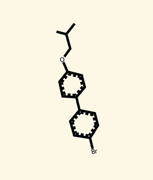 CC(C)COc1ccc(-c2ccc(Br)cc2)cc1